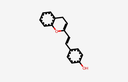 Oc1ccc(C=CC2=CCc3ccccc3O2)cc1